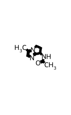 CC(=O)NC1CCn2c(C)cnc21